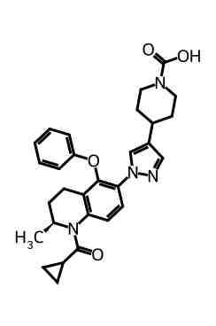 C[C@H]1CCc2c(ccc(-n3cc(C4CCN(C(=O)O)CC4)cn3)c2Oc2ccccc2)N1C(=O)C1CC1